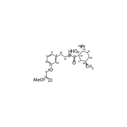 COC(=O)COc1cccc(CCNC(=O)[C@]2(O)C[C@H](C)CC[C@H]2C(C)C)c1